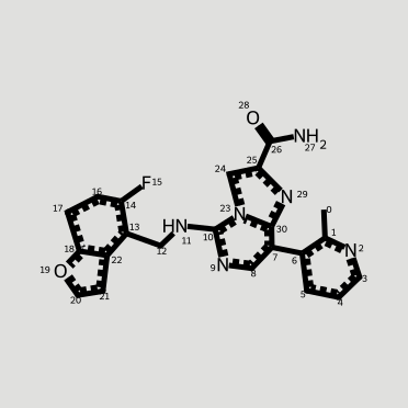 Cc1ncccc1-c1cnc(NCc2c(F)ccc3occc23)n2cc(C(N)=O)nc12